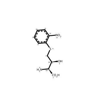 N[C@H](C(=O)O)[C@H](O)CSc1ccccc1[N+](=O)[O-]